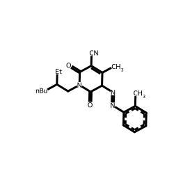 CCCCC(CC)CN1C(=O)C(C#N)=C(C)C(/N=N/c2ccccc2C)C1=O